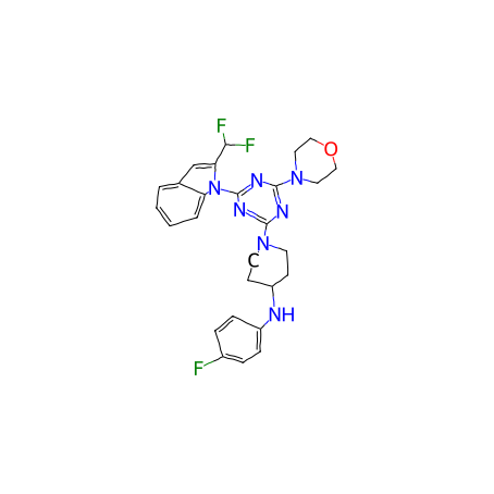 Fc1ccc(NC2CCN(c3nc(N4CCOCC4)nc(-n4c(C(F)F)cc5ccccc54)n3)CC2)cc1